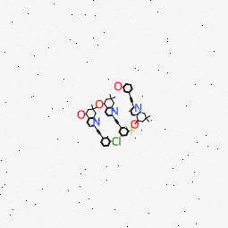 CC1(C)CC(=O)c2ccc(C#Cc3cccc(Cl)c3)nc2C1.CC1(C)CC(=O)c2ccc(C#Cc3cccc(F)c3)nc2C1.COc1cccc(C#Cc2ccc3c(n2)CC(C)(C)CC3=O)c1